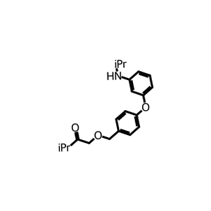 CC(C)Nc1cccc(Oc2ccc(COCC(=O)C(C)C)cc2)c1